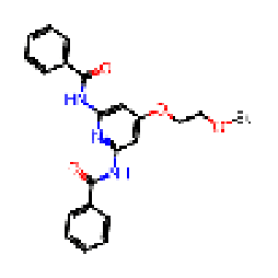 CCOCCOc1cc(NC(=O)c2ccccc2)nc(NC(=O)c2ccccc2)c1